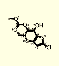 COC(=O)OC1=C(O)c2sc(Cl)cc2SN1C